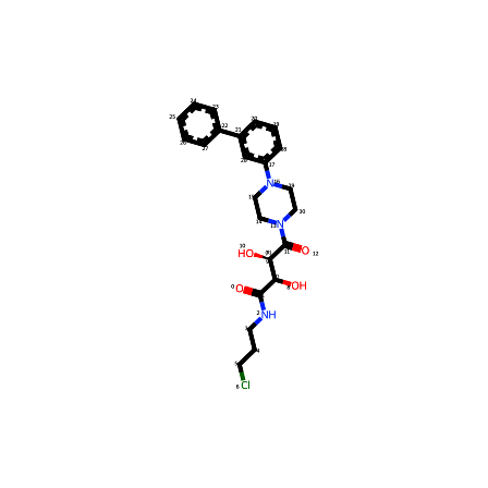 O=C(NCCCCl)C(O)[C@@H](O)C(=O)N1CCN(c2cccc(-c3ccccc3)c2)CC1